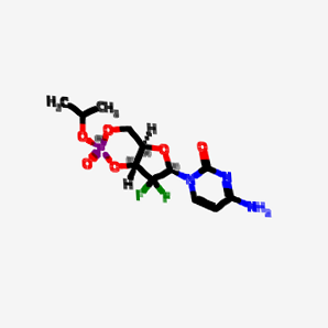 CC(C)O[P@@]1(=O)OC[C@H]2O[C@@H](n3ccc(N)nc3=O)C(F)(F)[C@@H]2O1